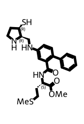 COC(=O)[C@H](CCSC)NC(=O)c1cc(NC[C@H]2NCC[C@H]2S)ccc1-c1ccccc1